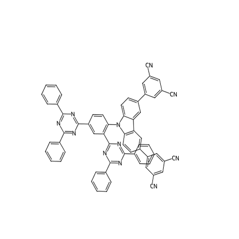 N#Cc1cc(C#N)cc(-c2ccc3c(c2)c2cc(-c4cc(C#N)cc(C#N)c4)ccc2n3-c2ccc(-c3nc(-c4ccccc4)nc(-c4ccccc4)n3)cc2-c2nc(-c3ccccc3)nc(-c3ccccc3)n2)c1